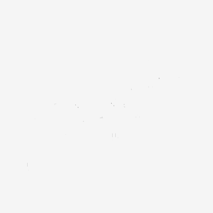 CC1CN(C(=O)COc2ccccc2)C(C)CN1Cc1ccc(F)cc1